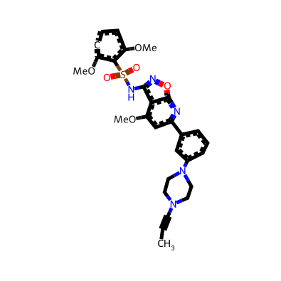 CC#CN1CCN(c2cccc(-c3cc(OC)c4c(NS(=O)(=O)c5c(OC)cccc5OC)noc4n3)c2)CC1